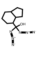 [N-]=[N+]=NC(O)(N=[N+]=[N-])C1CCCC2CCCC21